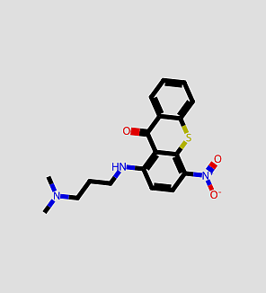 CN(C)CCCNc1ccc([N+](=O)[O-])c2sc3ccccc3c(=O)c12